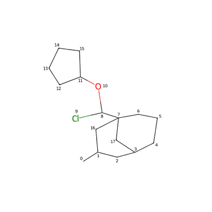 CC1CC2CCCC(C(Cl)OC3CCCC3)(C1)C2